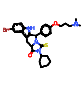 CN(C)CCCOc1ccc(C2c3[nH]c4ccc(Br)cc4c3CC3C(=O)N(C4CCCCC4)C(=S)N32)cc1